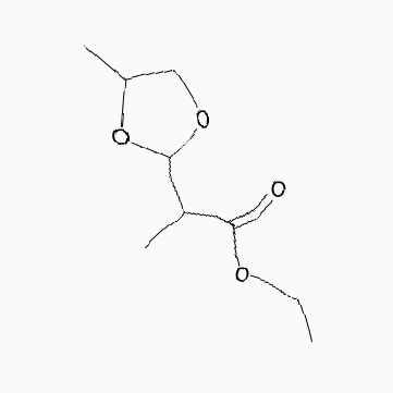 CCOC(=O)C(C)C1OCC(C)O1